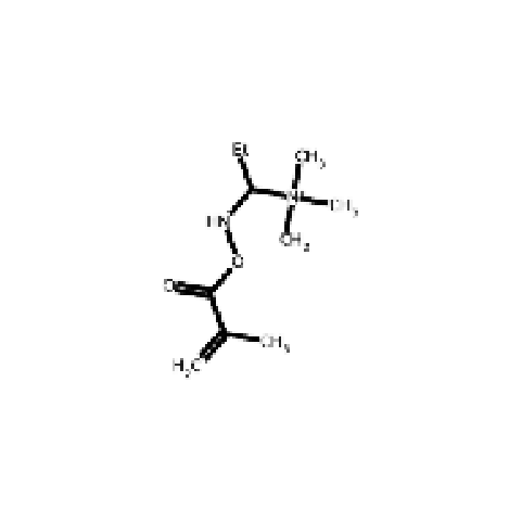 C=C(C)C(=O)ONC(CC)[N+](C)(C)C